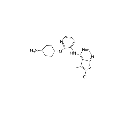 Cc1c(Cl)sc2ncnc(Nc3cccnc3O[C@H]3CC[C@H](N)CC3)c12